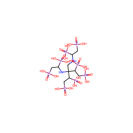 O=P(O)(O)CC(NCC(NC(CP(=O)(O)O)P(=O)(O)O)(C(CP(=O)(O)O)P(=O)(O)O)C(CP(=O)(O)O)P(=O)(O)O)P(=O)(O)O